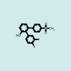 CS(=O)(=O)c1ccc(-c2[c]ccc(O)c2-c2ccc(F)c(F)c2)cc1